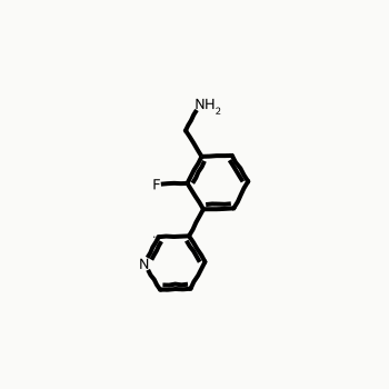 NCc1cccc(-c2[c]nccc2)c1F